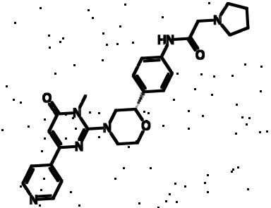 Cn1c(N2CCO[C@@H](c3ccc(NC(=O)CN4CCCC4)cc3)C2)nc(-c2ccncc2)cc1=O